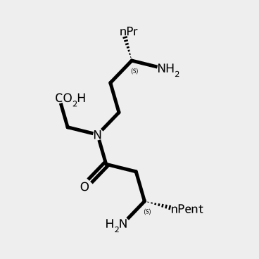 CCCCC[C@H](N)CC(=O)N(CC[C@@H](N)CCC)CC(=O)O